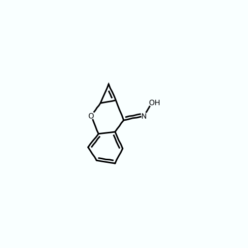 ON=C1C2=CC2Oc2ccccc21